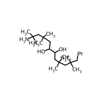 CC(C)CC(C)(C)CC(C)(C)CC(O)C(O)CC(C)(C)CC(C)(C)N